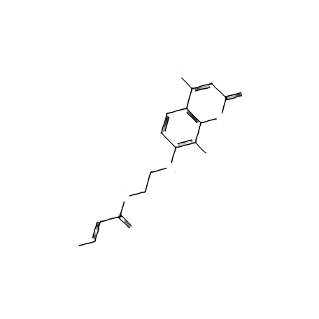 CC=CC(=O)OCCOc1ccc2c(C)cc(=O)oc2c1C